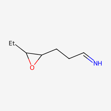 CCC1OC1CCC=N